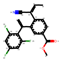 C=C(c1cc(C(=O)OC)ccc1/C(C#N)=C\C)c1c(F)cc(F)cc1F